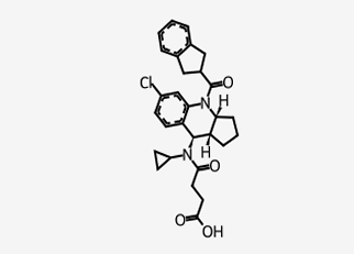 O=C(O)CCC(=O)N(C1CC1)[C@H]1c2ccc(Cl)cc2N(C(=O)C2Cc3ccccc3C2)[C@@H]2CCC[C@@H]21